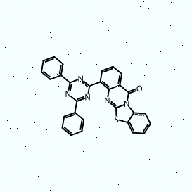 O=c1c2cccc(-c3nc(-c4ccccc4)nc(-c4ccccc4)n3)c2nc2sc3ccccc3n12